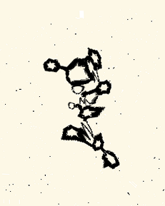 O=c1c2cc(-n3c4ccccc4c4cc(-c5ccccc5)ccc43)ccc2n2c3cccc(-n4c5ccccc5c5cc(-c6ccccc6)ccc54)c3c(=O)n12